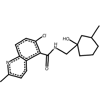 CC1CCCC(O)(CNC(=O)c2c(Cl)ccc3nc(Cl)ccc23)C1